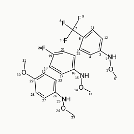 CONc1ccc(C(F)(F)F)cc1.CONc1ccc(F)cc1.CONc1ccc(OC)cc1